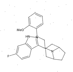 COc1c[c]ccc1OCCN1C2CCC1CC(c1n[nH]c3cc(F)ccc13)C2